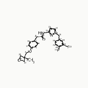 CC1(COc2ccc(CC(=O)Nc3ccn(Cc4ccc(F)c(F)c4)n3)cc2)COC1